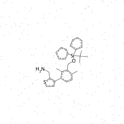 Cc1ccc(-c2ccsc2CN)c(C)c1CO[Si](c1ccccc1)(c1ccccc1)C(C)(C)C